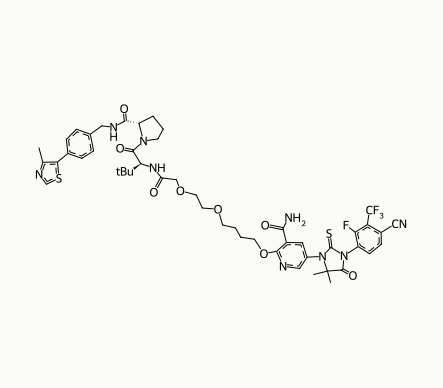 Cc1ncsc1-c1ccc(CNC(=O)[C@@H]2CCCN2C(=O)[C@@H](NC(=O)COCCOCCCCOc2ncc(N3C(=S)N(c4ccc(C#N)c(C(F)(F)F)c4F)C(=O)C3(C)C)cc2C(N)=O)C(C)(C)C)cc1